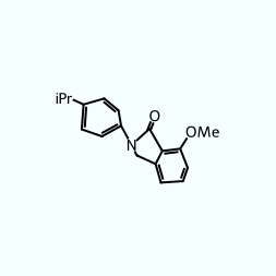 COc1cccc2c1C(=O)N(c1ccc(C(C)C)cc1)C2